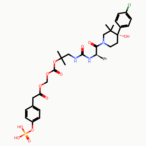 CC(C)[C@@H](NC(=O)NCC(C)(C)OC(=O)OCOC(=O)Cc1ccc(OP(=O)(O)O)cc1)C(=O)N1CC[C@](O)(c2ccc(Cl)cc2)C(C)(C)C1